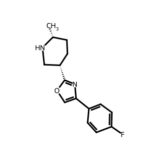 C[C@@H]1CC[C@H](c2nc(-c3ccc(F)cc3)co2)CN1